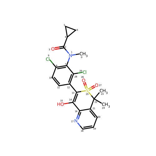 CN(C(=O)C1CC1)c1c(Cl)ccc(C2=C(O)c3ncccc3C(C)(C)S2(=O)=O)c1Cl